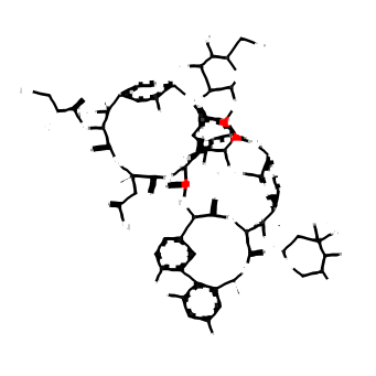 CC(C)C[C@@H](N)C(=O)NC1C(=O)N[C@@H](CC(N)=O)C(=O)N[C@H]2C(=O)NC3C(=O)N[C@H](C(=O)N[C@@H](C(=O)O)c4cc(O)cc(O)c4-c4cc3ccc4O)[C@H](O[C@@H]3CC(C)(N)C(O)C(C)CO3)c3ccc(c(Cl)c3)Oc3cc2cc(c3OC2OC(CO)C(O)C(O)C2OC2CC(C)(N)C(O)C(C)O2)Oc2ccc(cc2Cl)[C@H]1O